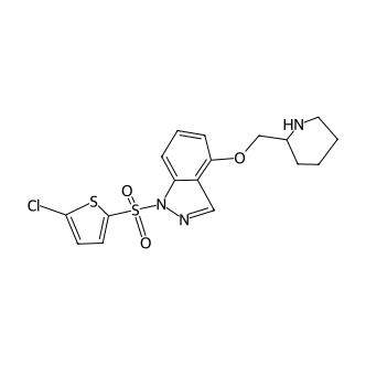 O=S(=O)(c1ccc(Cl)s1)n1ncc2c(OCC3CCCCN3)cccc21